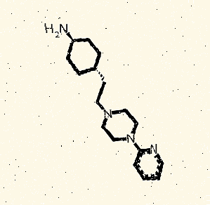 N[C@H]1CC[C@H](CCN2CCN(c3ccccn3)CC2)CC1